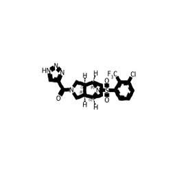 O=C(c1c[nH]nn1)N1C[C@@H]2[C@H](C1)[C@@H]1CC[C@H]2N1S(=O)(=O)c1cccc(Cl)c1C(F)(F)F